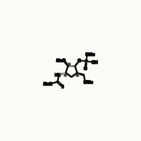 CNC(=S)N[C@H]1C[C@H](COC)C(OP(=O)(O)OC)[C@@H]1OC